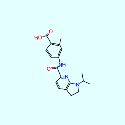 Cc1cc(NC(=O)c2ccc3c(n2)N(C(C)C)CC3)ccc1C(=O)O